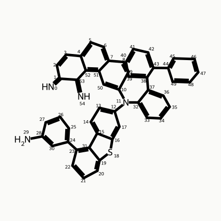 N=C1C=Cc2ccc3ccc(N(c4ccc5c(c4)sc4cccc(-c6cccc(N)c6)c45)c4ccccc4-c4ccccc4-c4ccccc4)cc3c2C1=N